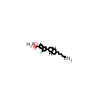 CCCCCCC1CC[C@@H]2CC(c3cc(F)c4cc(C(=O)OC)ccc4c3)CC[C@H]2C1